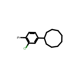 CC(C)c1ccc(C2CCCCCCCC2)cc1Cl